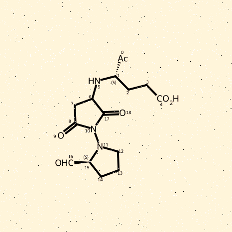 CC(=O)[C@H](CCC(=O)O)NC1CC(=O)N(N2CCC[C@H]2C=O)C1=O